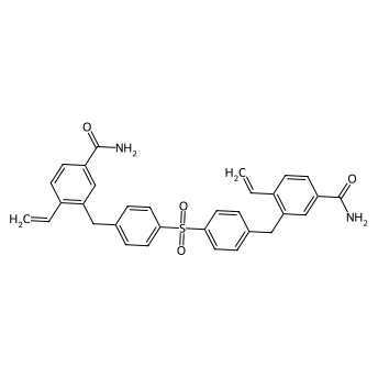 C=Cc1ccc(C(N)=O)cc1Cc1ccc(S(=O)(=O)c2ccc(Cc3cc(C(N)=O)ccc3C=C)cc2)cc1